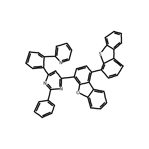 c1ccc(-c2nc(-c3ccccc3-c3ccccn3)cc(-c3ccc(-c4cccc5c4sc4ccccc45)c4c3oc3ccccc34)n2)cc1